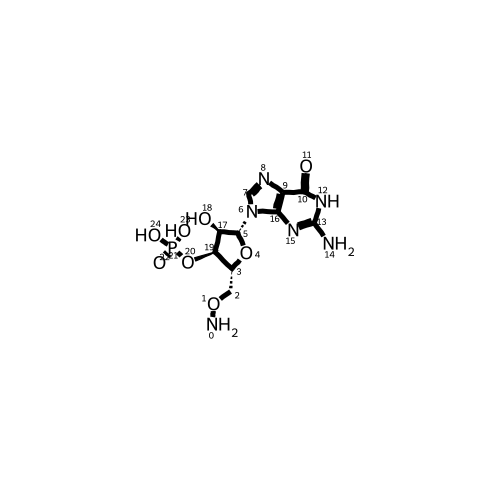 NOC[C@H]1O[C@@H](n2cnc3c(=O)[nH]c(N)nc32)[C@H](O)[C@@H]1OP(=O)(O)O